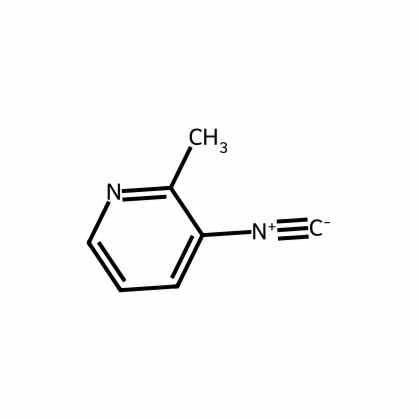 [C-]#[N+]c1cccnc1C